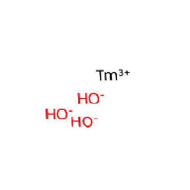 [OH-].[OH-].[OH-].[Tm+3]